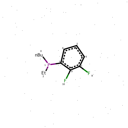 CCCCP(CC)c1cccc(F)c1F